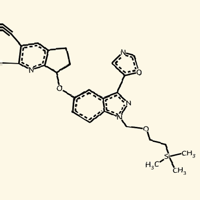 C[Si](C)(C)CCOCn1nc(-c2cnco2)c2cc(OC3CCc4cc(C#N)c(Cl)nc43)ccc21